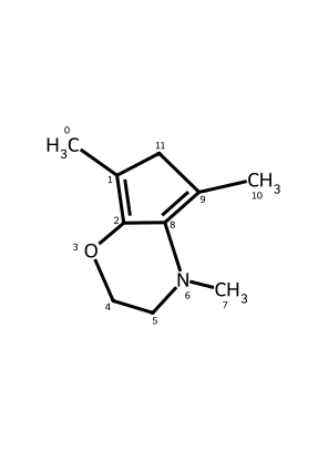 CC1=C2OCCN(C)C2=C(C)C1